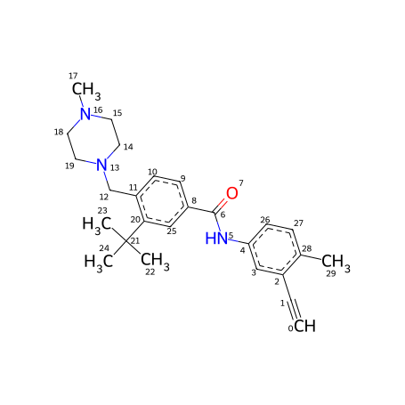 C#Cc1cc(NC(=O)c2ccc(CN3CCN(C)CC3)c(C(C)(C)C)c2)ccc1C